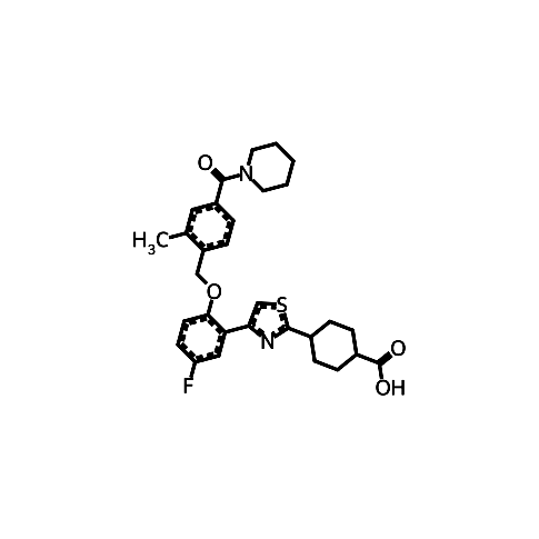 Cc1cc(C(=O)N2CCCCC2)ccc1COc1ccc(F)cc1-c1csc(C2CCC(C(=O)O)CC2)n1